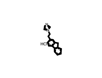 Cl.c1ccc2c(c1)Cc1cc(CCn3ccnc3)ccc1-2